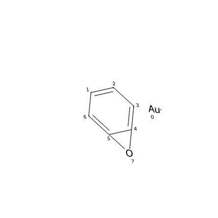 [Au].c1ccc2c(c1)O2